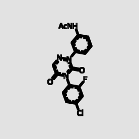 CC(=O)Nc1cccc(-n2ncc(=O)n(-c3ccc(Cl)cc3F)c2=O)c1